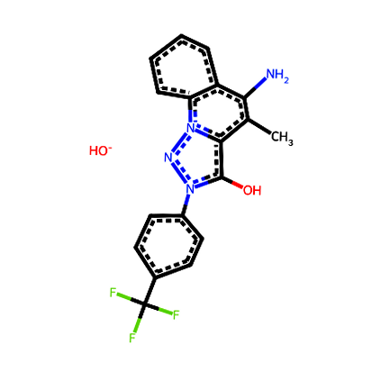 Cc1c(N)c2ccccc2[n+]2nn(-c3ccc(C(F)(F)F)cc3)c(O)c12.[OH-]